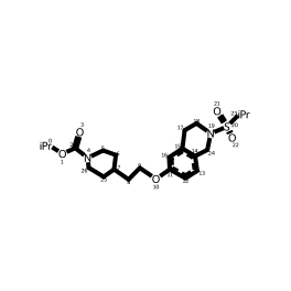 CC(C)OC(=O)N1CCC(CCOc2ccc3c(c2)CCN(S(=O)(=O)C(C)C)C3)CC1